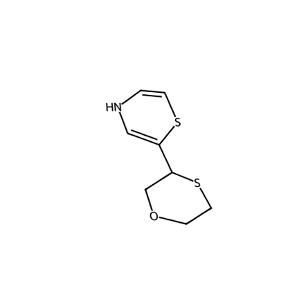 C1=CSC(C2COCCS2)=CN1